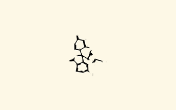 Nc1ccc2c(c1)C1(OC2=O)c2ccc(O)cc2OC2=CC(=O)C=CC21